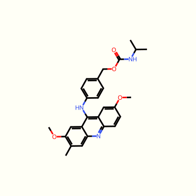 COc1ccc2nc3cc(C)c(OC)cc3c(Nc3ccc(COC(=O)NC(C)C)cc3)c2c1